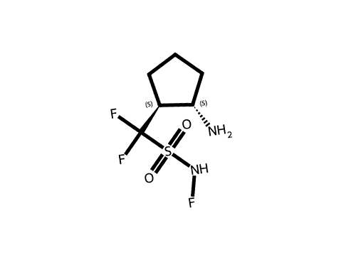 N[C@H]1CCC[C@@H]1C(F)(F)S(=O)(=O)NF